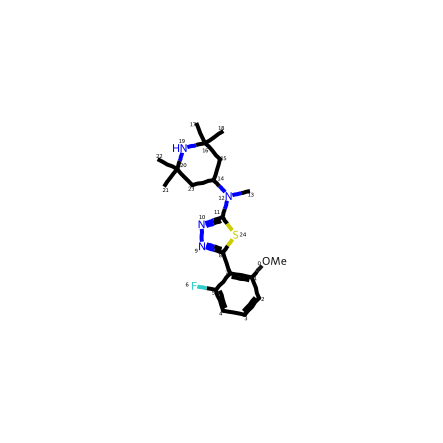 COc1cccc(F)c1-c1nnc(N(C)C2CC(C)(C)NC(C)(C)C2)s1